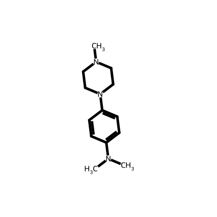 CN1CCN(c2ccc(N(C)C)cc2)CC1